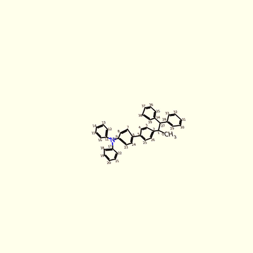 CC(c1ccc(-c2ccc(N(c3ccccc3)c3ccccc3)cc2)cc1)C(c1ccccc1)c1ccccc1